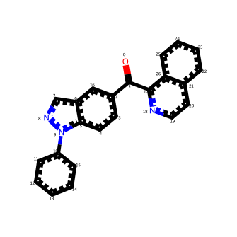 O=C(c1ccc2c(cnn2-c2ccccc2)c1)c1nccc2ccccc12